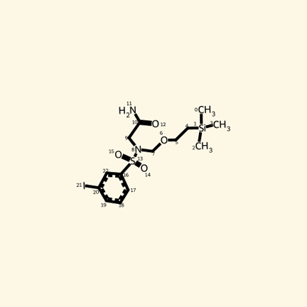 C[Si](C)(C)CCOCN(CC(N)=O)S(=O)(=O)c1cccc(I)c1